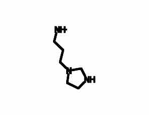 [NH]CCCN1CCNC1